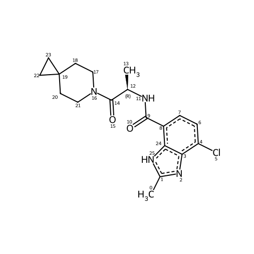 Cc1nc2c(Cl)ccc(C(=O)N[C@H](C)C(=O)N3CCC4(CC3)CC4)c2[nH]1